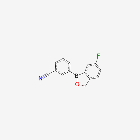 N#Cc1cccc(B2OCc3ccc(F)cc32)c1